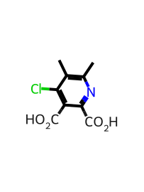 Cc1nc(C(=O)O)c(C(=O)O)c(Cl)c1C